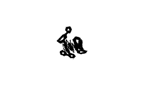 c1ccc(-c2cccc(-c3nc(-n4c5ccccc5c5ccccc54)nc(-n4c5ccccc5c5ccccc54)n3)c2)cc1